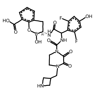 O=C(O)c1cccc2c1OB(O)[C@@H](NC(=O)C(NC(=O)N1CCN(CC3CNC3)C(=O)C1=O)c1c(F)cc(O)cc1F)C2